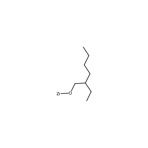 CCCCC(CC)C[O][Zr]